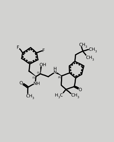 CC(=O)N[C@@H](Cc1cc(F)cc(F)c1)[C@@H](O)CN[C@@H]1CC(C)(C)C(=O)c2ccc(CC(C)(C)C)cc21